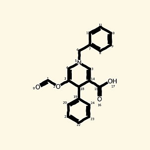 O=COC1=CN(Cc2ccccc2)C=C(C(=O)O)C1c1ccccc1